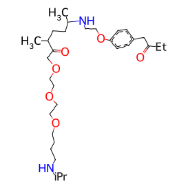 CCC(=O)Cc1ccc(OCCNC(C)CCC(C)C(=O)COCCOCCOCCCCNC(C)C)cc1